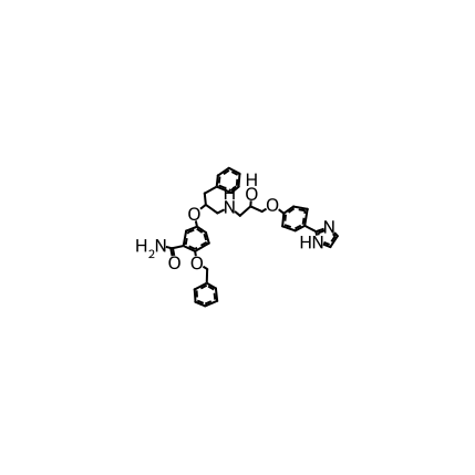 NC(=O)c1cc(OC(CNCC(O)COc2ccc(-c3ncc[nH]3)cc2)Cc2ccccc2)ccc1OCc1ccccc1